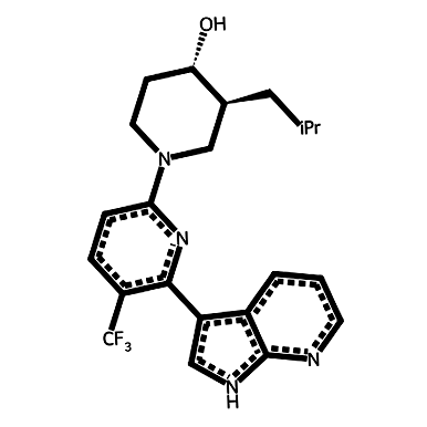 CC(C)C[C@H]1CN(c2ccc(C(F)(F)F)c(-c3c[nH]c4ncccc34)n2)CC[C@@H]1O